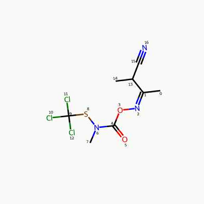 CC(=NOC(=O)N(C)SC(Cl)(Cl)Cl)C(C)C#N